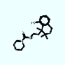 CC1(C)CCc2cccc(C#N)c2C1(C)CCNC(=O)N1CCCCC1